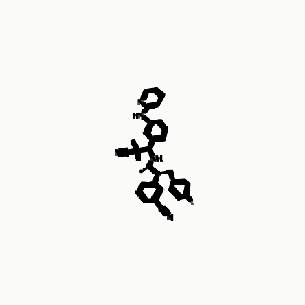 C[C@H](NC(c1cccc(Nc2ccccn2)c1)C(C)(C)C#N)[C@@H](Cc1ccc(I)cc1)c1cccc(C#N)c1